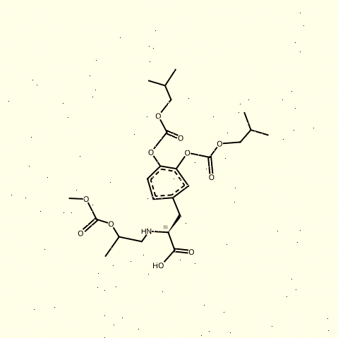 COC(=O)OC(C)CN[C@@H](Cc1ccc(OC(=O)OCC(C)C)c(OC(=O)OCC(C)C)c1)C(=O)O